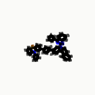 c1ccc(-c2nc(-n3c4cc(-c5ccc(-c6ccc7c(c6)N(c6ccccc6)c6ccccc6S7)cc5)ccc4c4c5ccccc5ccc43)nc3ccccc23)cc1